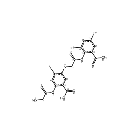 O=C(CS)Oc1cc(I)c(SCC(=O)Oc2c(I)cc(I)cc2C(=O)O)cc1C(=O)O